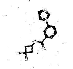 O=C(NC1CC(Cl)(Cl)C1)c1cccc(-n2ccnc2)c1